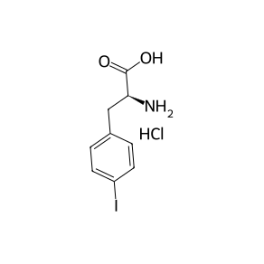 Cl.N[C@@H](Cc1ccc(I)cc1)C(=O)O